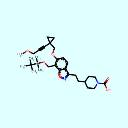 COCC#CC1(COc2ccc3c(CCC4CCN(C(=O)O)CC4)noc3c2CO[Si](C)(C)C(C)(C)C)CC1